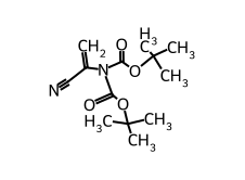 C=C(C#N)N(C(=O)OC(C)(C)C)C(=O)OC(C)(C)C